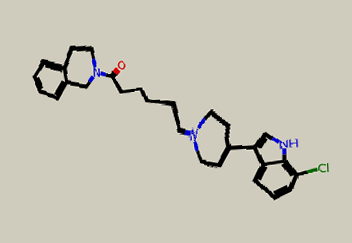 O=C(CCCCCN1CCC(c2c[nH]c3c(Cl)cccc23)CC1)N1CCc2ccccc2C1